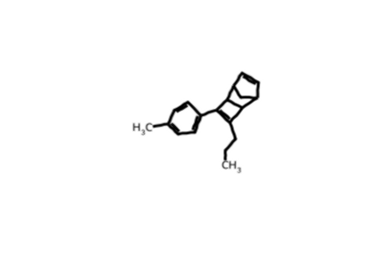 CCCC1=C(c2ccc(C)cc2)C2C3C=CC(C3)C12